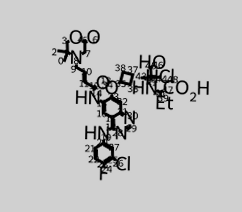 CC1(C)COC(=O)CN1C/C=C/C(=O)Nc1cc2c(Nc3ccc(F)c(Cl)c3)ncnc2cc1OC1CCC1.CCC(NC(C)(C)CO)C(=O)O.Cl